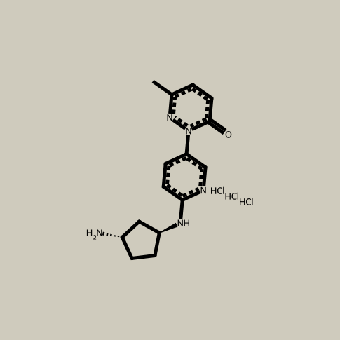 Cc1ccc(=O)n(-c2ccc(N[C@H]3CC[C@H](N)C3)nc2)n1.Cl.Cl.Cl